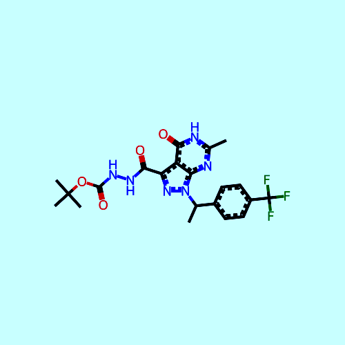 Cc1nc2c(c(C(=O)NNC(=O)OC(C)(C)C)nn2C(C)c2ccc(C(F)(F)F)cc2)c(=O)[nH]1